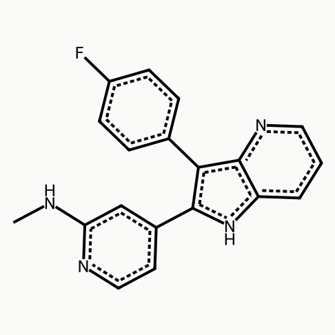 CNc1cc(-c2[nH]c3cccnc3c2-c2ccc(F)cc2)ccn1